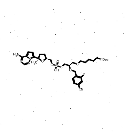 CCCCCCCCCCCCCCCOC[C@H](COP(=O)(O)OC[C@@H]1CC[C@](C)(c2ccc3c(N)ncnn23)O1)OCc1ccc(C#N)cc1F